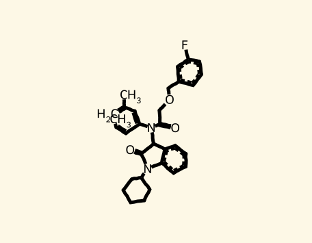 C=C(C)/C=C(\C=C/C)N(C(=O)COCc1cccc(F)c1)C1C(=O)N(C2CCCCC2)c2ccccc21